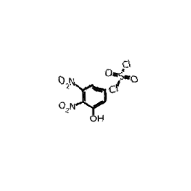 O=S(=O)(Cl)Cl.O=[N+]([O-])c1cccc(O)c1[N+](=O)[O-]